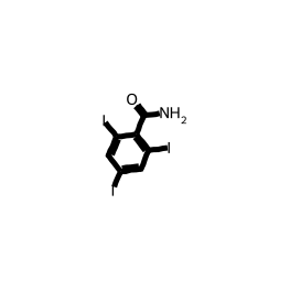 NC(=O)c1c(I)cc(I)cc1I